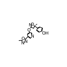 Cc1nnc(-c2cncc(OC3=NO[C@](C)(c4ccc(O)cc4)C3)c2)o1